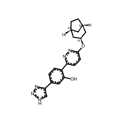 Oc1cc(-c2c[nH]nn2)ccc1-c1ccc(O[C@H]2C[C@@H]3CC[C@@H](C3)C2)nn1